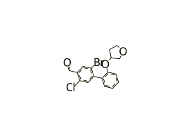 O=Cc1cc(Br)c(-c2ccccc2O[C@H]2CCOC2)cc1Cl